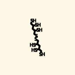 SCC(S)CC(S)CSSCC(S)CC(S)CS